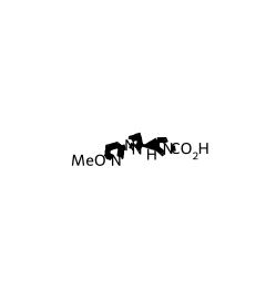 COc1ccc(-n2ccc([C@H]3C4CN(C(=O)O)C[C@H]43)n2)cn1